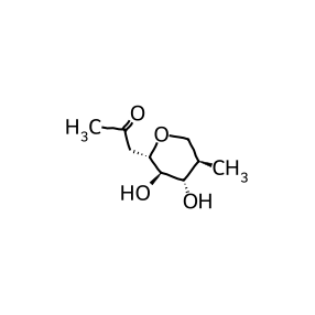 CC(=O)C[C@@H]1OC[C@@H](C)[C@H](O)[C@H]1O